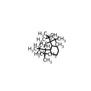 CC(C)(C)C(P)(C1CCCCC1C(P)(C(C)(C)C)C(C)(C)C)C(C)(C)C